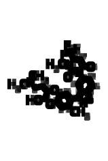 Cc1ccc(OC(CCN(C)C)C(=O)O)cc1-c1nsc2ccc(-n3c(=O)cc(C(F)(F)F)n(C)c3=O)cc12